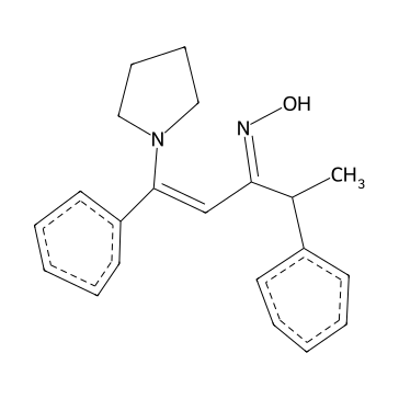 CC(C(C=C(c1ccccc1)N1CCCC1)=NO)c1ccccc1